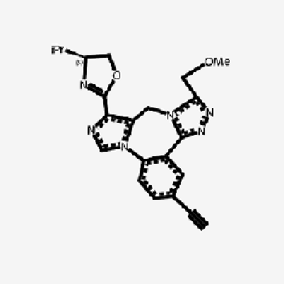 C#Cc1ccc2c(c1)-c1nnc(COC)n1Cc1c(C3=N[C@@H](C(C)C)CO3)ncn1-2